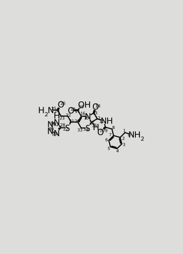 NCc1ccccc1CC(=O)NC1C(=O)N2C(C(=O)O)=C(C(CCC(N)=O)Sc3nnn[nH]3)CS[C@@H]12